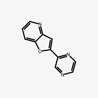 c1cnc2cc(-c3cnccn3)oc2c1